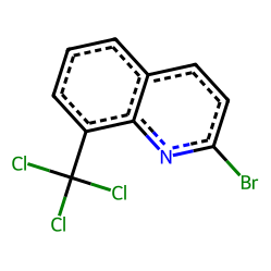 ClC(Cl)(Cl)c1cccc2ccc(Br)nc12